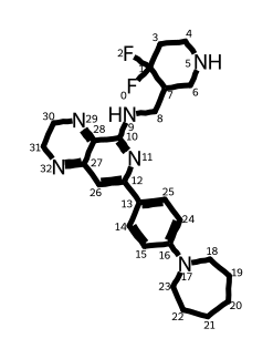 FC1(F)CCNCC1CNc1nc(-c2ccc(N3CCCCCC3)cc2)cc2c1=NCCN=2